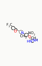 CC1CC(c2cc3cc(C(F)(F)F)ccc3o2)CCN1c1ccc(OCC2(C)NC=CN2)c([N+](=O)[O-])c1